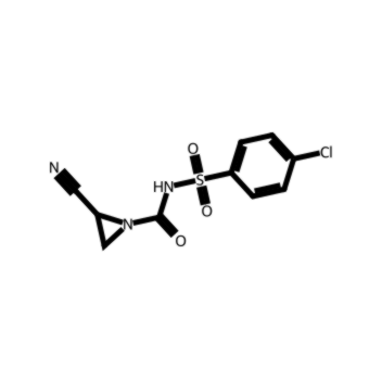 N#CC1CN1C(=O)NS(=O)(=O)c1ccc(Cl)cc1